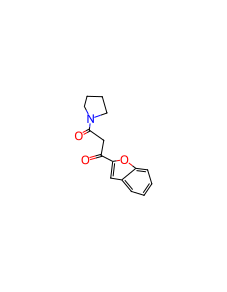 O=C(CC(=O)N1CCCC1)c1cc2ccccc2o1